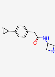 O=C(Cc1ccc(C2CC2)cc1)NC1CNC1